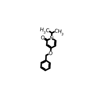 CC(C)n1ccc(OCc2ccccc2)cc1=O